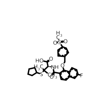 CC(C)(SC1CCCC1)[C@H](NC(=O)c1ccc2cc(F)ccc2c1OCc1ccc(S(C)(=O)=O)cc1)C(=O)O